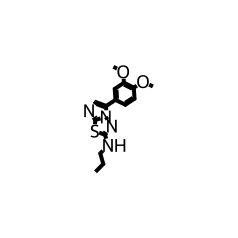 CCCNc1nn2c(-c3ccc(OC)c(OC)c3)cnc2s1